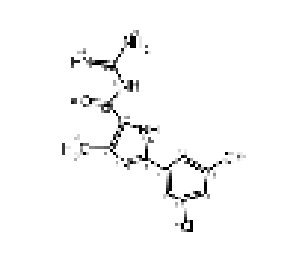 Cc1nc(-c2cc(Cl)cc(Cl)c2)[nH]c1C(=O)NC(=N)N